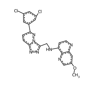 COc1cnc2c(NCc3nnc4ccc(-c5cc(Cl)cc(Cl)c5)nn34)ccnc2c1